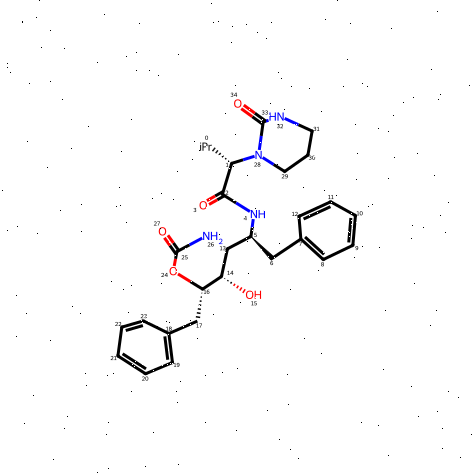 CC(C)[C@@H](C(=O)N[C@@H](Cc1ccccc1)C[C@H](O)[C@H](Cc1ccccc1)OC(N)=O)N1CCCNC1=O